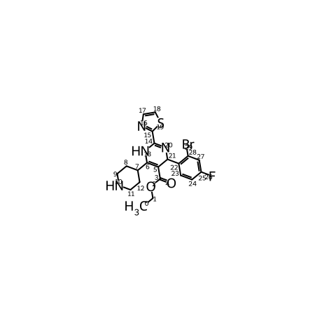 CCOC(=O)C1=C(C2CCNCC2)NC(c2nccs2)=NC1c1ccc(F)cc1Br